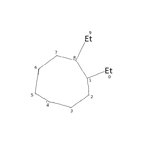 CCC1CC[CH]CCCC1CC